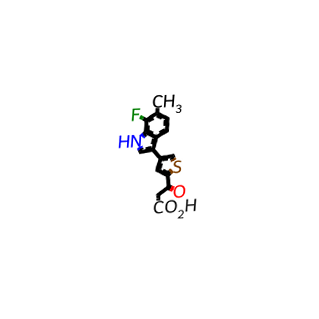 Cc1ccc2c(-c3csc(C(=O)CC(=O)O)c3)c[nH]c2c1F